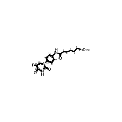 CCCCCCCCCCCCCCCC(=O)Nc1ccc(-n2cc(F)c(=O)[nH]c2=O)cc1